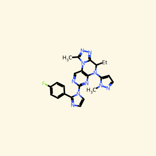 CCC1c2nnc(C)n2-c2cnc(-n3ccnc3-c3ccc(F)cc3)nc2N1c1ccnn1C